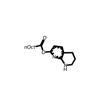 CCCCCCCCC(=O)Oc1ccc2c(n1)NCCC2